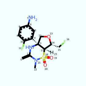 C=C1N[C@@]2(c3cc(N)ccc3F)CO[C@H](CF)[C@H]2S(=O)(=O)N1C